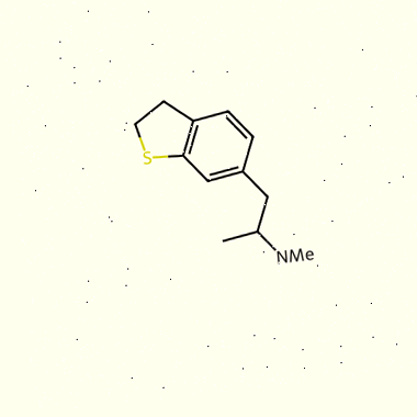 CNC(C)Cc1ccc2c(c1)SCC2